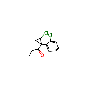 CCC(=O)C1(c2ccccc2Cl)CC1Cl